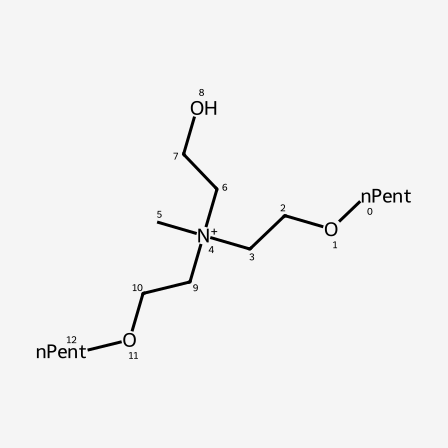 CCCCCOCC[N+](C)(CCO)CCOCCCCC